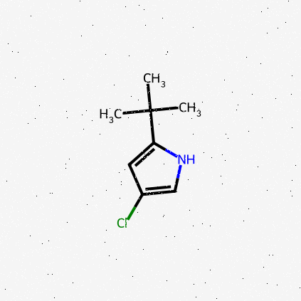 CC(C)(C)c1cc(Cl)c[nH]1